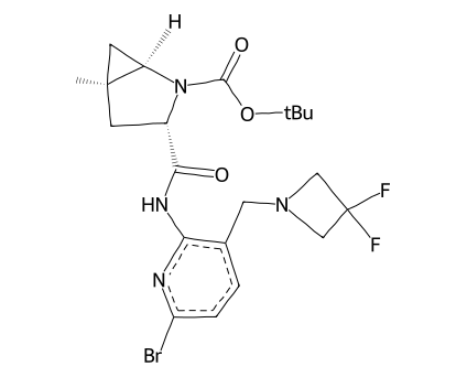 CC(C)(C)OC(=O)N1[C@H](C(=O)Nc2nc(Br)ccc2CN2CC(F)(F)C2)C[C@@]2(C)C[C@@H]12